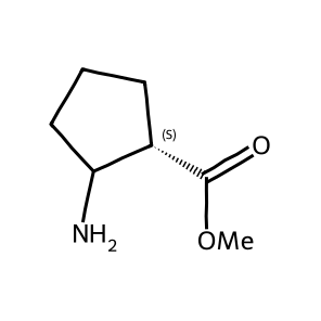 COC(=O)[C@H]1CCCC1N